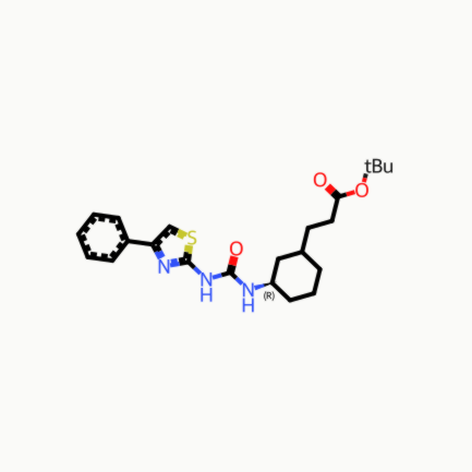 CC(C)(C)OC(=O)CCC1CCC[C@@H](NC(=O)Nc2nc(-c3ccccc3)cs2)C1